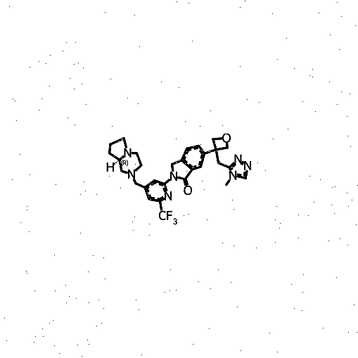 Cn1cnnc1CC1(c2ccc3c(c2)C(=O)N(c2cc(CN4CCN5CCC[C@@H]5C4)cc(C(F)(F)F)n2)C3)COC1